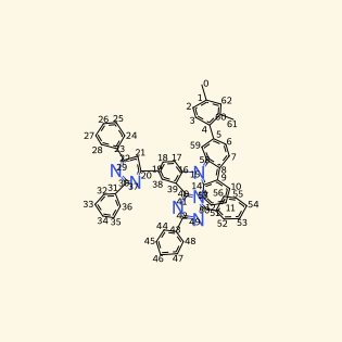 Cc1ccc(-c2ccc3c4ccccc4n(-c4ccc(-c5cc(-c6ccccc6)nc(-c6ccccc6)n5)cc4-c4nc(-c5ccccc5)nc(-c5ccccc5)n4)c3c2)c(C)c1